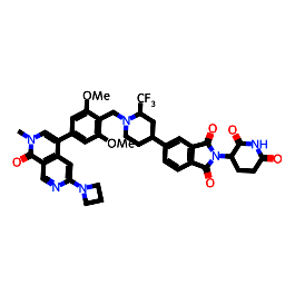 COc1cc(-c2cn(C)c(=O)c3cnc(N4CCC4)cc23)cc(OC)c1CN1CCC(c2ccc3c(c2)C(=O)N(C2CCC(=O)NC2=O)C3=O)CC1C(F)(F)F